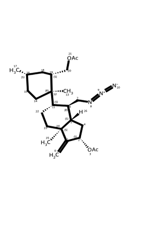 C=C1[C@@H](OC(C)=O)C[C@H]2[C@H](CN=[N+]=[N-])[C@@H]([C@@]3(C)CC[C@H](C)C[C@@H]3COC(C)=O)CC[C@]12C